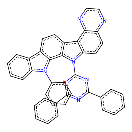 c1ccc(-c2nc(-c3ccccc3)nc(-n3c4ccc5nccnc5c4c4ccc5c6ccccc6n(-c6ccccc6)c5c43)n2)cc1